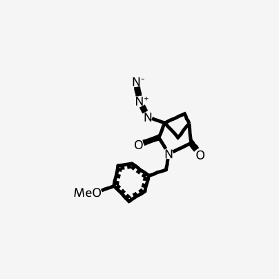 COc1ccc(CN2C(=O)C3CC(N=[N+]=[N-])(C3)C2=O)cc1